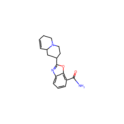 NC(=O)c1cccc2nc(C3CCN4CCC=CC4C3)oc12